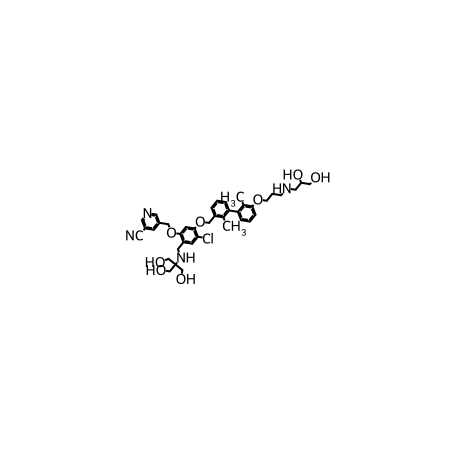 Cc1c(COc2cc(OCc3cncc(C#N)c3)c(CNC(CO)(CO)CO)cc2Cl)cccc1-c1cccc(OCCCNCC(O)CO)c1C